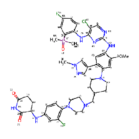 COc1cc(N2CCC(CN3CCN(c4ccc(NC5CCC(=O)NC5=O)cc4F)CC3)CC2)c(-c2cnn(C)c2)cc1Nc1ncc(Cl)c(Nc2ccc(F)cc2P(C)(C)=O)n1